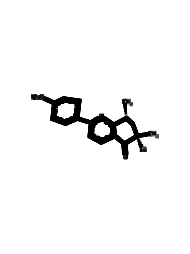 CC[C@@]1(C)C[C@@H](C)c2nc(-c3ccc(OC)cc3)ccc2C1=O